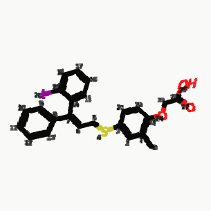 Cc1cc(SC/C=C(/c2ccccc2)c2ccccc2I)ccc1OCC(=O)O